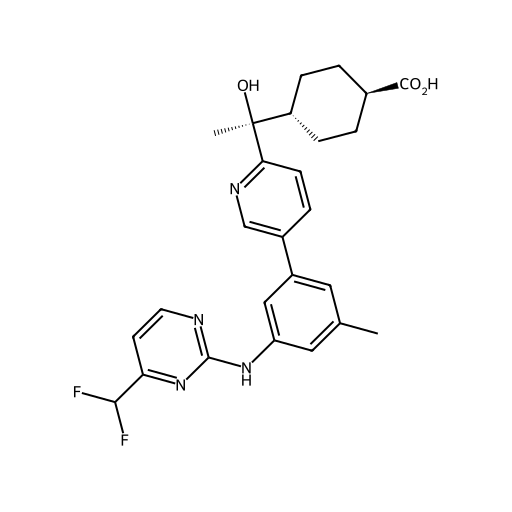 Cc1cc(Nc2nccc(C(F)F)n2)cc(-c2ccc([C@@](C)(O)[C@H]3CC[C@H](C(=O)O)CC3)nc2)c1